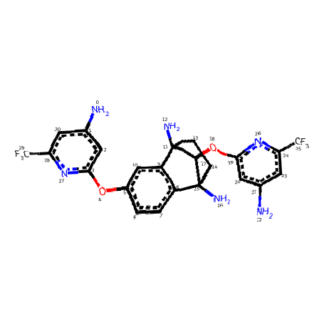 Nc1cc(Oc2ccc3c(c2)C2(N)CCC3(N)C2Oc2cc(N)cc(C(F)(F)F)n2)nc(C(F)(F)F)c1